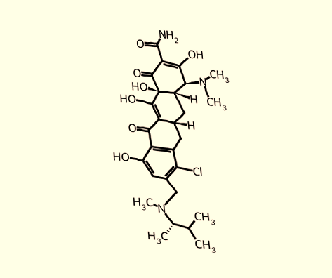 CC(C)[C@H](C)N(C)Cc1cc(O)c2c(c1Cl)C[C@H]1C[C@H]3[C@H](N(C)C)C(O)=C(C(N)=O)C(=O)[C@@]3(O)C(O)=C1C2=O